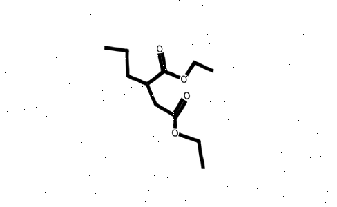 CCCC(CC(=O)OCC)C(=O)OCC